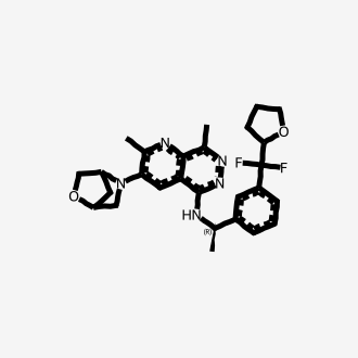 Cc1nc2c(C)nnc(N[C@H](C)c3cccc(C(F)(F)C4CCCO4)c3)c2cc1N1CC2CC1CO2